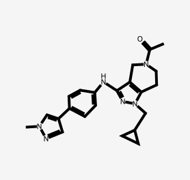 CC(=O)N1CCc2c(c(Nc3ccc(-c4cnn(C)c4)cc3)nn2CC2CC2)C1